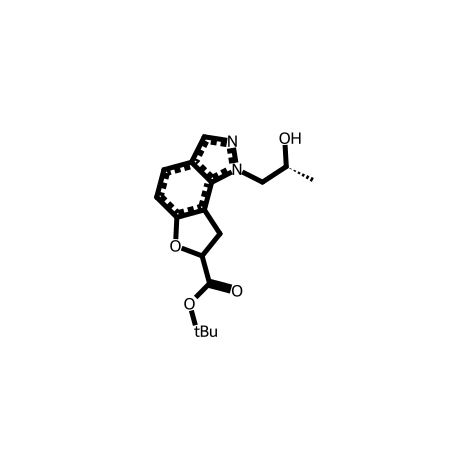 C[C@@H](O)Cn1ncc2ccc3c(c21)CC(C(=O)OC(C)(C)C)O3